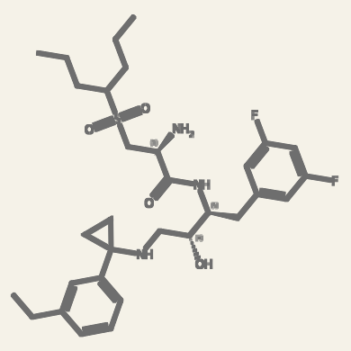 CCCC(CCC)S(=O)(=O)C[C@@H](N)C(=O)N[C@@H](Cc1cc(F)cc(F)c1)[C@H](O)CNC1(c2cccc(CC)c2)CC1